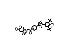 COC(=O)Cc1ncn(CC(=O)N2CCC(c3csc(-c4cc(C(C)(C)C)c(OC)c(C(C)(C)C)c4)n3)CC2)c1C